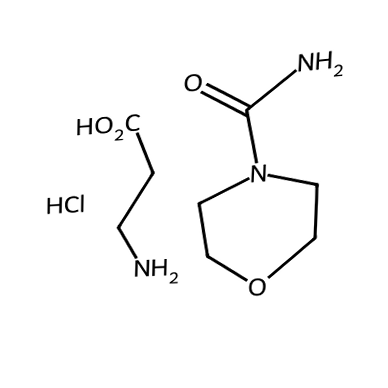 Cl.NC(=O)N1CCOCC1.NCCC(=O)O